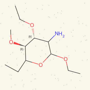 CCOC1OC(CC)[C@@H](OC)[C@H](OCC)C1N